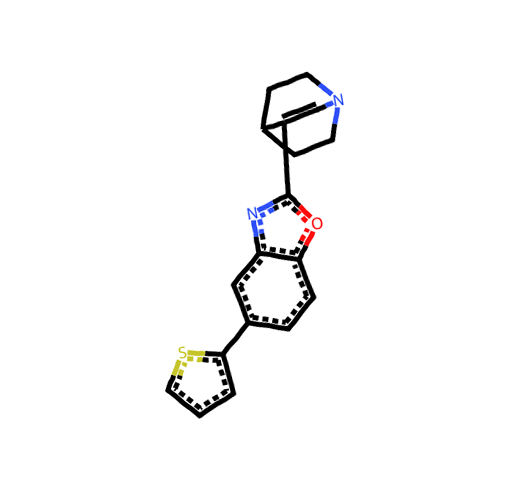 C1=C(c2nc3cc(-c4cccs4)ccc3o2)C2CCN1CC2